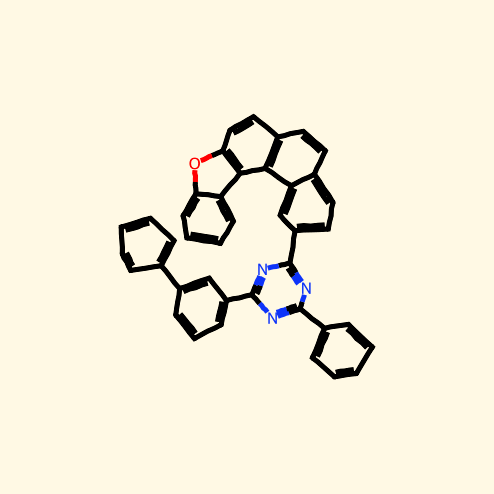 c1ccc(-c2cccc(-c3nc(-c4ccccc4)nc(-c4ccc5ccc6ccc7oc8ccccc8c7c6c5c4)n3)c2)cc1